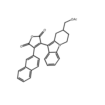 CC(=O)OCC1CCn2c(c(C3=C(c4ccc5ccccc5c4)C(=O)OC3=O)c3ccccc32)C1